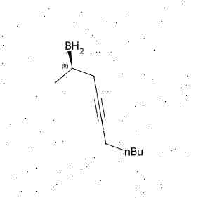 B[C@H](C)CC#CCCCCC